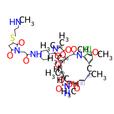 CNCCCSC1CC(=O)N(CCC(=O)NC[C@H]2CC[C@H](C(=O)N(C)[C@H](C)C(=O)O[C@H]3CC(=O)N(C)c4cc(cc(OC)c4Cl)C/C(C)=C/C=C/[C@@H](OC)[C@@]4(O)C[C@H](OC(=O)N4)[C@@H](C)[C@@H]4O[C@@]34C)CC2)C1=O